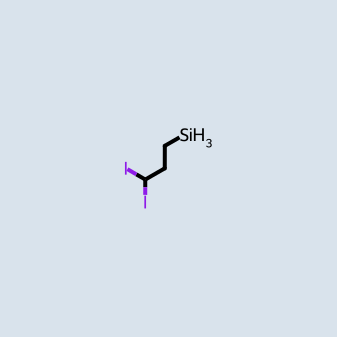 [SiH3]CCC(I)I